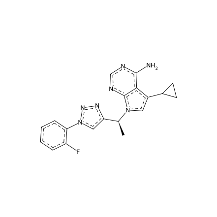 C[C@@H](c1cn(-c2ccccc2F)nn1)n1cc(C2CC2)c2c(N)ncnc21